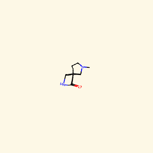 CN1CCC2(CNC2=O)C1